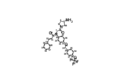 N[C@H]1CCN(C(=O)CN(C(=O)/C=C/c2ccccc2)c2ccc(OCc3ccc(OC(F)(F)F)cc3)cc2)C1